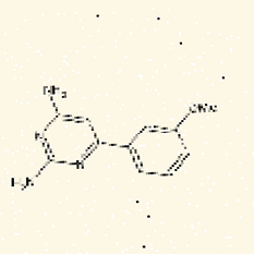 COc1cccc(-c2cc(N)nc(N)n2)c1